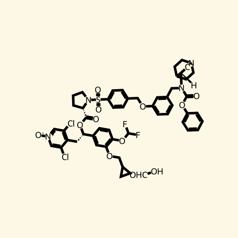 O=C(O[C@@H](Cc1c(Cl)c[n+]([O-])cc1Cl)c1ccc(OC(F)F)c(OCC2CC2)c1)[C@@H]1CCCN1S(=O)(=O)c1ccc(COc2cccc(CN(C(=O)Oc3ccccc3)[C@H]3CN4CCC3CC4)c2)cc1.O=CO